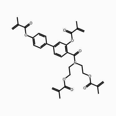 C=C(C)C(=O)OCCN(CCOC(=O)C(=C)C)C(=O)c1ccc(-c2ccc(OC(=O)C(=C)C)cc2)cc1OC(=O)C(=C)C